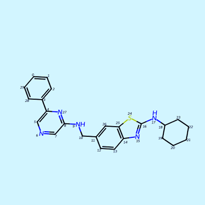 c1ccc(-c2cncc(NCc3ccc4nc(NC5CCCCC5)sc4c3)n2)cc1